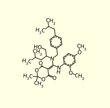 COc1ccc(NC(=C2C(=O)OC(C)(C)OC2=O)N(Cc2ccc(CC(C)C)cc2)C(CO)CC(C)C)c(OC)c1